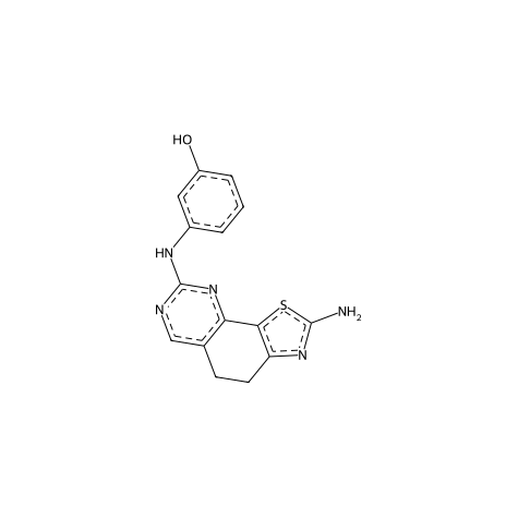 Nc1nc2c(s1)-c1nc(Nc3cccc(O)c3)ncc1CC2